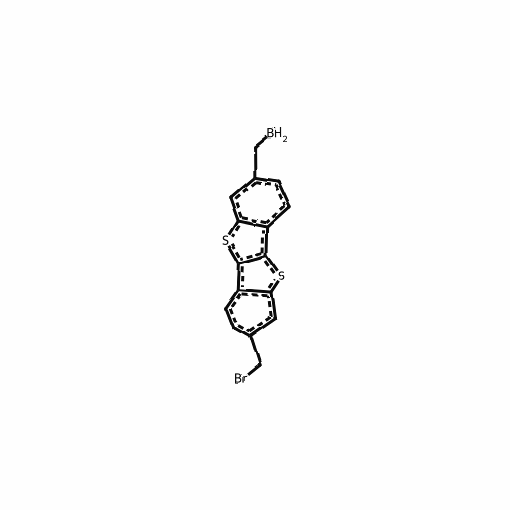 BCc1ccc2c(c1)sc1c3ccc(CBr)cc3sc21